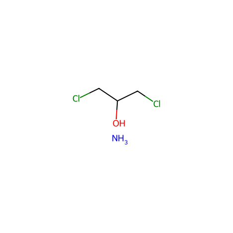 N.OC(CCl)CCl